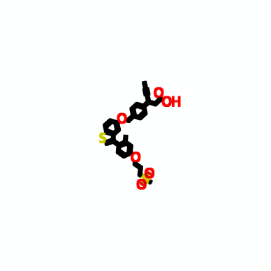 CC#CC(CC(=O)O)c1ccc(COc2ccc3scc(-c4ccc(OCCCS(C)(=O)=O)cc4C)c3c2)cc1